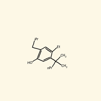 CCCC(C)(C)c1cc(O)c(CC(C)C)cc1CC